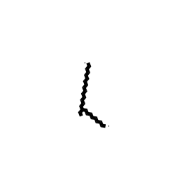 [CH2]CCCCCCCCCCCCCCC(CC)CCCCCCCC[CH2]